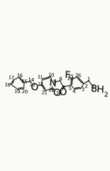 BCc1ccc(C(=O)Cn2ccc(OCc3ccccc3)cc2=O)c(F)c1